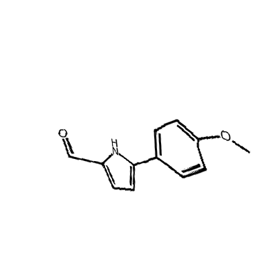 COc1ccc(-c2ccc(C=O)[nH]2)cc1